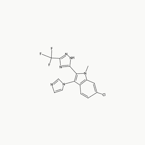 Cn1c(-c2nc(C(F)(F)F)n[nH]2)c(-n2ccnc2)c2ccc(Cl)cc21